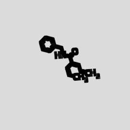 C=C/C=C(\C=C/C)C(=O)NCc1ccccc1